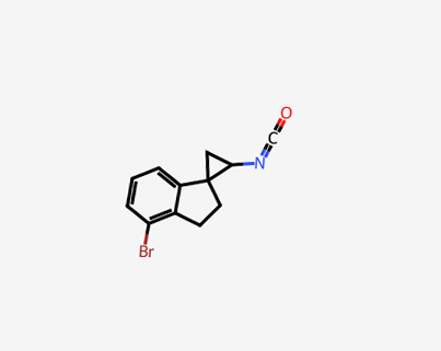 O=C=NC1CC12CCc1c(Br)cccc12